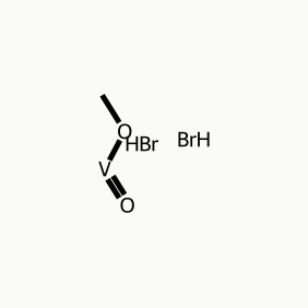 Br.Br.C[O][V]=[O]